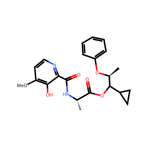 COc1ccnc(C(=O)N[C@@H](C)C(=O)OC(C2CC2)[C@H](C)Oc2ccccc2)c1O